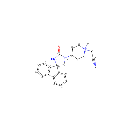 C[N+]1(CC#N)CCC(N2CC(c3ccccc3)(c3ccccc3)NC2=O)CC1